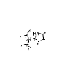 C=C(C)N(C(C)C)C1CCCN1